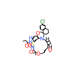 CCC(=O)NS1(=O)=NC(=O)C(C)(C)OC/C=C/[C@@H](OC)[C@@H]2CC[C@H]2CN2C[C@@]3(CCCc4cc(Cl)ccc43)COc3ccc1cc32